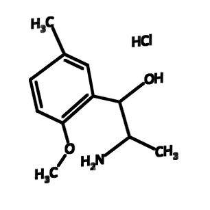 COc1ccc(C)cc1C(O)C(C)N.Cl